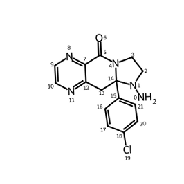 NN1CCN2C(=O)c3nccnc3CC12c1ccc(Cl)cc1